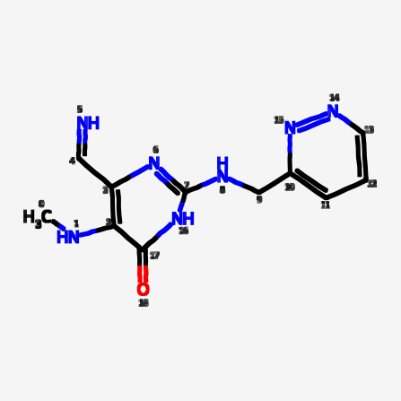 CNc1c(C=N)nc(NCc2cccnn2)[nH]c1=O